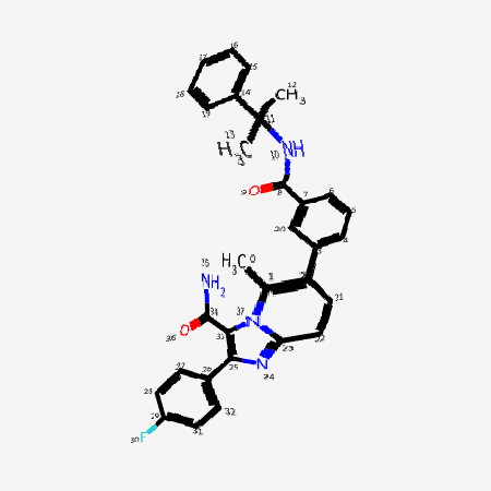 Cc1c(-c2cccc(C(=O)NC(C)(C)c3ccccc3)c2)ccc2nc(-c3ccc(F)cc3)c(C(N)=O)n12